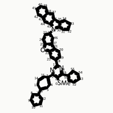 CSc1c(C2=CC=C(c3ccccc3)CC=C2)nc(-c2ccc3c(c2)oc2ccc(-n4c5ccccc5c5cc6ccccc6cc54)cc23)nc1-c1ccccc1